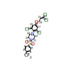 O=S(=O)(c1ccc(C(F)(F)F)cc1)N1CCN(c2c(Cl)cc(OCC=C(Cl)Cl)cc2Cl)CC1